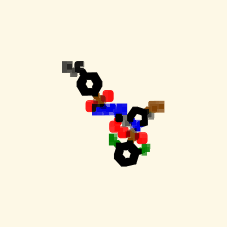 Cc1ccc(S(=O)(=O)NNC(=O)[C@@H]2C[C@@H](S)CN2S(=O)(=O)c2c(F)cccc2F)cc1